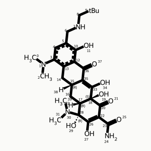 CN(C)c1cc(CNCC(C)(C)C)c(O)c2c1C[C@H]1C[C@@H]3[C@@](O)(C(=O)C(C(N)=O)=C(O)[C@@]3(O)N(C)C)C(O)=C1C2=O